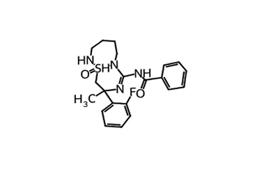 CC1(c2ccccc2F)C[SH]2(=O)NCCCCN2C(NC(=O)c2ccccc2)=N1